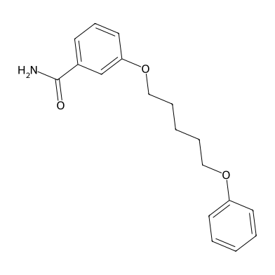 NC(=O)c1cccc(OCCCCCOc2ccccc2)c1